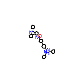 c1ccc(-c2nc(-c3ccccc3)nc(-c3ccc(-c4ccc(-c5nc6c(ccc7c(-c8ccccc8)nc8ccccc8c76)o5)cc4)cc3)n2)cc1